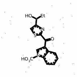 CCC(O)c1csc(C(=O)c2cn(C(=O)O)c3ccccc23)n1